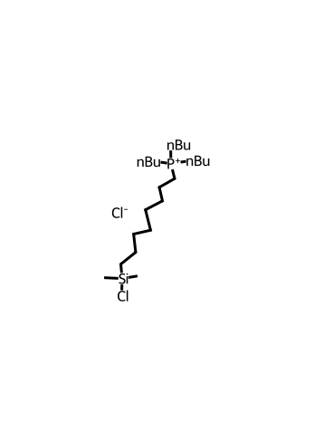 CCCC[P+](CCCC)(CCCC)CCCCCCCC[Si](C)(C)Cl.[Cl-]